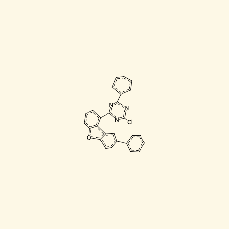 Clc1nc(-c2ccccc2)nc(-c2cccc3oc4ccc(-c5ccccc5)cc4c23)n1